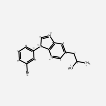 CC(O)Cc1cnc2c(c1)ncn2-c1cccc(Br)c1